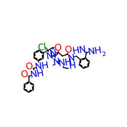 CCNN(C)C1=NC(Cl)(c2cccc(NC(=O)NC(=O)c3ccccc3)c2)C2=NC1(CC(=O)NCc1ccccc1C(=N)N)O2